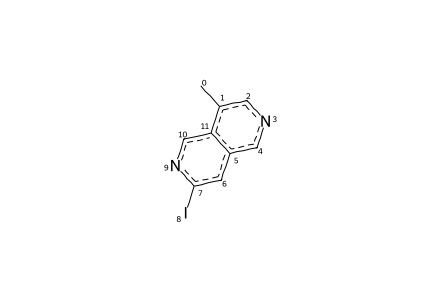 Cc1cncc2cc(I)ncc12